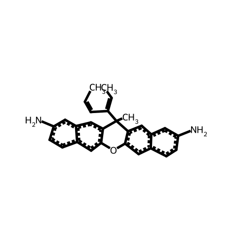 C/C=C\C(=C/C)C1(C)c2cc3cc(N)ccc3cc2Oc2cc3ccc(N)cc3cc21